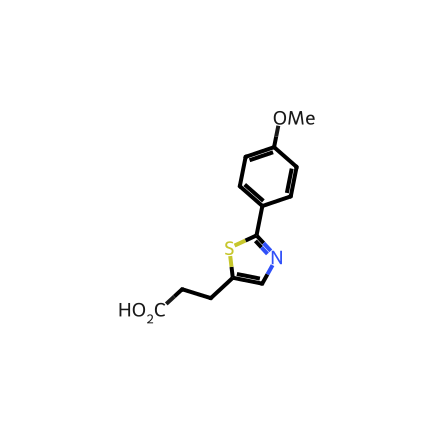 COc1ccc(-c2ncc(CCC(=O)O)s2)cc1